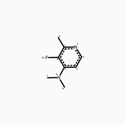 Cc1nccc(N(C)C)c1F